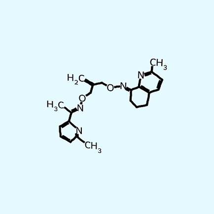 C=C(CO/N=C(\C)c1cccc(C)n1)CO/N=C1\CCCc2ccc(C)nc21